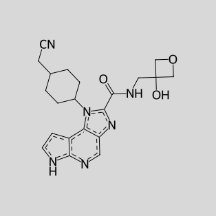 N#CCC1CCC(n2c(C(=O)NCC3(O)COC3)nc3cnc4[nH]ccc4c32)CC1